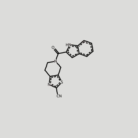 N#Cc1nc2c(s1)CN(C(=O)c1cc3ccccc3[nH]1)CC2